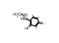 CNNc1ccc(F)cc1F